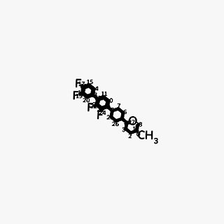 CC1CCC(C2CCC(c3ccc(-c4ccc(F)c(F)c4)c(F)c3F)CC2)OC1